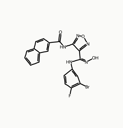 O=C(Nc1nonc1/C(=N\O)Nc1ccc(F)c(Br)c1)c1ccc2ccccc2c1